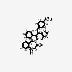 Cc1nc[nH]c1C(Cc1ccc(C(C)(C)C)cc1)C(CN1Cc2ccccc2NCC1=O)c1ccccc1